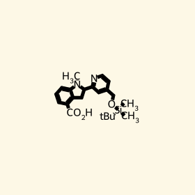 CN1c2cccc(C(=O)O)c2CC1c1cc(CO[Si](C)(C)C(C)(C)C)ccn1